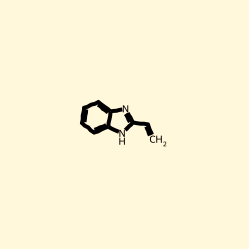 C=Cc1nc2ccccc2[nH]1